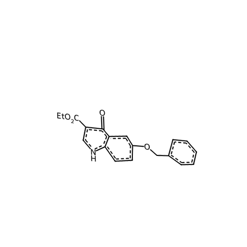 CCOC(=O)c1c[nH]c2ccc(OCc3ccccc3)cc2c1=O